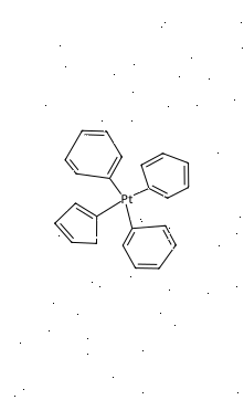 C1=CC[C]([Pt]([c]2ccccc2)([c]2ccccc2)[c]2ccccc2)=C1